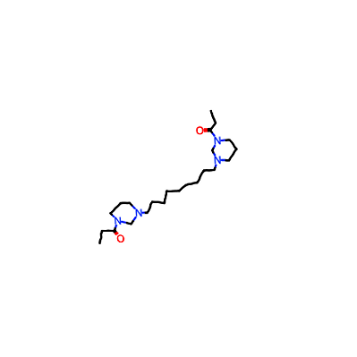 CCC(=O)N1CCCN(CCCCCCCCCN2CCCN(C(=O)CC)C2)C1